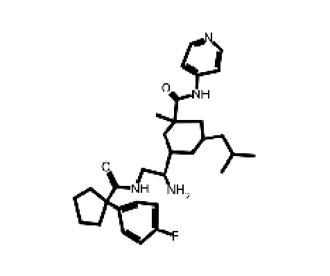 CC(C)CC1CC(C(N)CNC(=O)C2(c3ccc(F)cc3)CCCC2)CC(C)(C(=O)Nc2ccncc2)C1